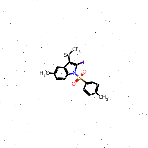 Cc1ccc(S(=O)(=O)n2c(I)c([Se]C(F)(F)F)c3cc(C)ccc32)cc1